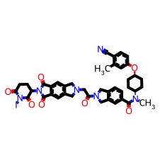 Cc1cc(O[C@H]2CC[C@H](N(C)C(=O)c3ccc4c(c3)CN(C(=O)CN3Cc5cc6c(cc5C3)C(=O)N(C3CCC(=O)N(I)C3=O)C6=O)C4)CC2)ccc1C#N